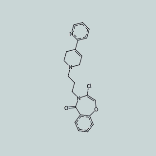 O=C1c2ccccc2OC=C(Cl)N1CCCN1CC=C(c2ccccn2)CC1